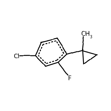 CC1(c2ccc(Cl)cc2F)CC1